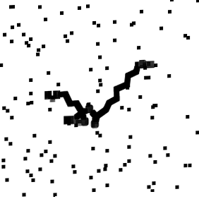 CCCCCCCCCCCCCCCCCC(=O)OC(O)(O)CCCN